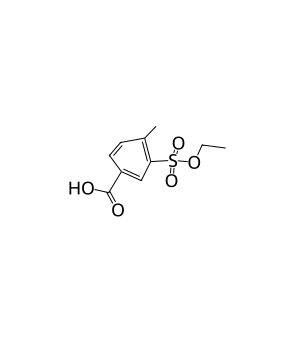 CCOS(=O)(=O)c1cc(C(=O)O)ccc1C